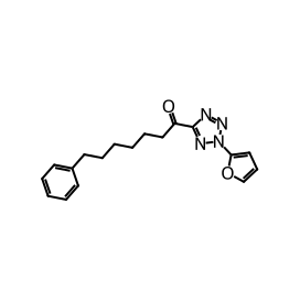 O=C(CCCCCCc1ccccc1)c1nnn(-c2ccco2)n1